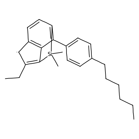 CCCCCCc1ccc(-c2c3ccc4c2C(=C(CC)[CH]4)[Si]3(C)C)cc1